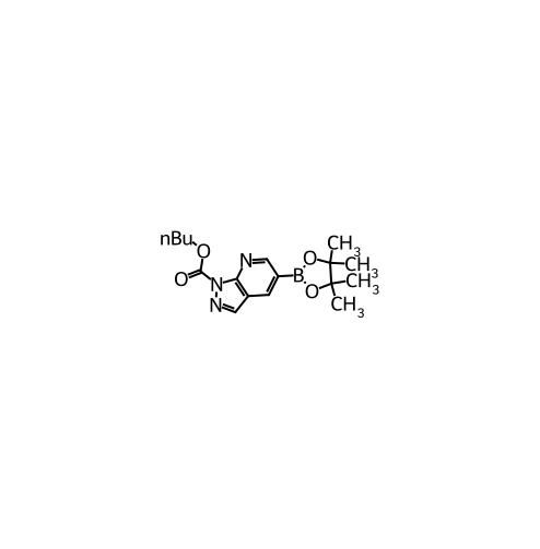 CCCCOC(=O)n1ncc2cc(B3OC(C)(C)C(C)(C)O3)cnc21